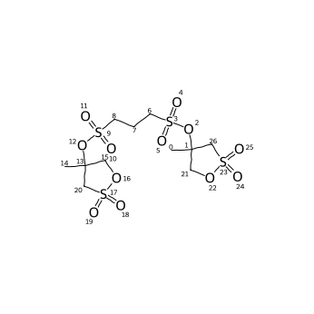 CC1(OS(=O)(=O)CCCS(=O)(=O)OC2(C)COS(=O)(=O)C2)COS(=O)(=O)C1